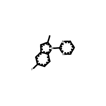 Cc1cc2cc(F)ccc2n1-c1ncccn1